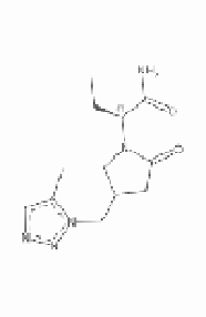 CC[C@@H](C(N)=O)N1CC(Cn2nncc2C)CC1=O